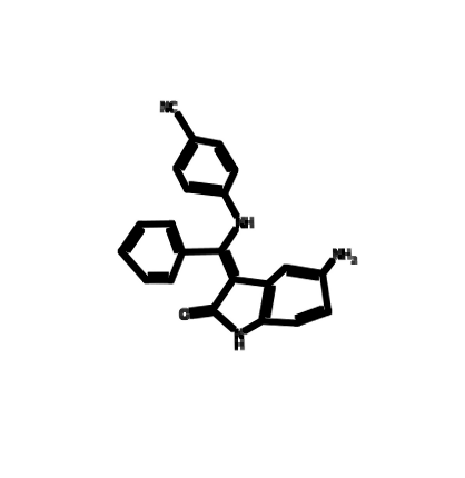 N#Cc1ccc(NC(=C2C(=O)Nc3ccc(N)cc32)c2ccccc2)cc1